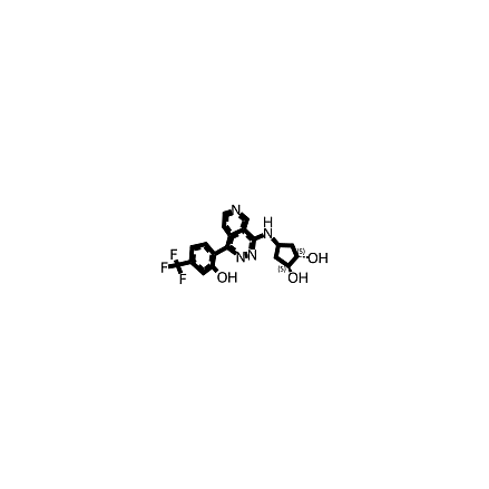 Oc1cc(C(F)(F)F)ccc1-c1nnc(NC2C[C@H](O)[C@@H](O)C2)c2cnccc12